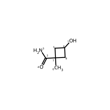 CC1(C(N)=O)CC(O)C1